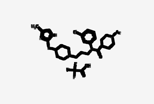 CC(=O)N1CCC(C(=O)N(CCCN2CCC(Sc3nc(C)c[nH]3)CC2)c2cccc(Cl)c2)CC1.O=C(O)C(F)(F)F